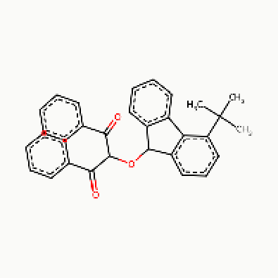 CC(C)(C)c1cccc2c1-c1ccccc1C2OC(C(=O)c1ccccc1)C(=O)c1ccccc1